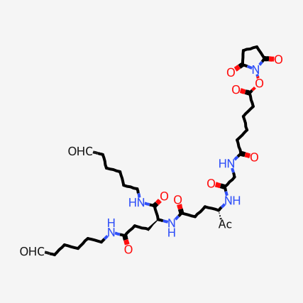 CC(=O)[C@H](CCC(=O)N[C@@H](CCC(=O)NCCCCCC=O)C(=O)NCCCCCC=O)NC(=O)CNC(=O)CCCCC(=O)ON1C(=O)CCC1=O